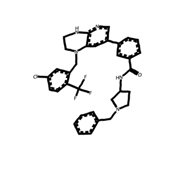 O=C(NC1CCN(Cc2ccccc2)C1)c1cccc(-c2cnc3c(c2)N(Cc2cc(Cl)ccc2C(F)(F)F)CCN3)c1